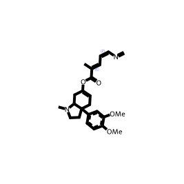 C=N/C=C\C=C(/C)C(=O)OC1=CCC2(c3ccc(OC)c(OC)c3)CCN(C)C2C1